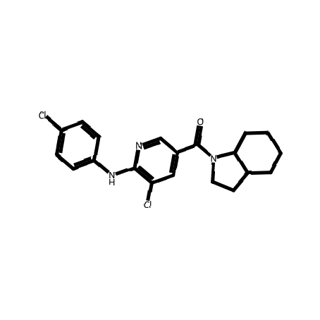 O=C(c1cnc(Nc2ccc(Cl)cc2)c(Cl)c1)N1CCC2CCCCC21